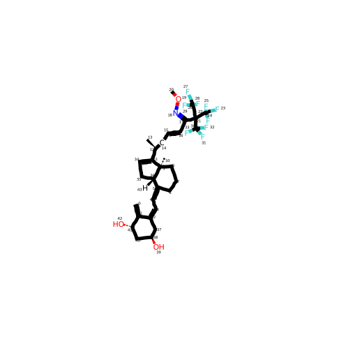 C=C1/C(=C\C=C2/CCC[C@]3(C)C([C@@H](C)C/C=C/C(=NOC)C(C(F)(F)F)(C(F)(F)F)C(F)(F)F)=CC[C@@H]23)C[C@@H](O)C[C@@H]1O